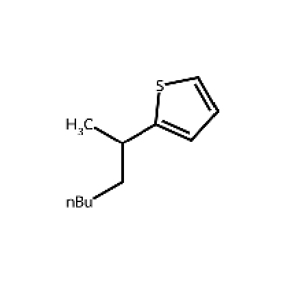 CCCCCC(C)c1cccs1